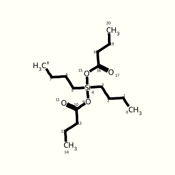 CCCC[Si](CCCC)(OC(=O)CCC)OC(=O)CCC